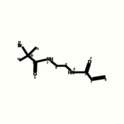 C=CC(=O)NCCNC(=O)C(C)(C)Br